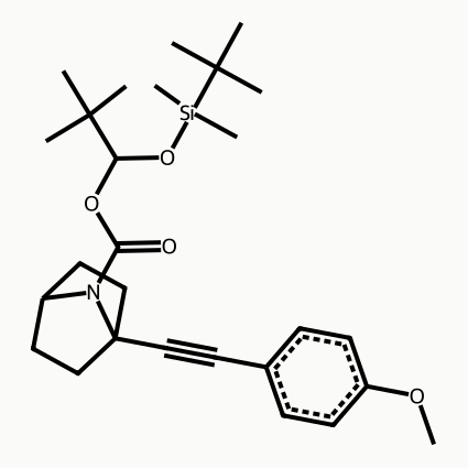 COc1ccc(C#CC23CCC(CC2)N3C(=O)OC(O[Si](C)(C)C(C)(C)C)C(C)(C)C)cc1